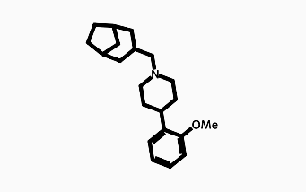 COc1ccccc1C1CCN(CC2CC3CCC(C3)C2)CC1